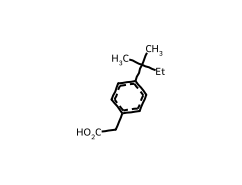 CCC(C)(C)c1ccc(CC(=O)O)cc1